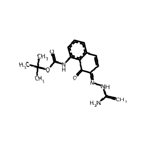 C=C(N)N/N=C1\C=Cc2cccc(NC(=O)OC(C)(C)C)c2C1=O